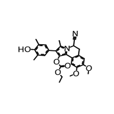 CCOC(=O)Oc1c(-c2cc(C)c(O)c(C)c2)c(C)n2c1-c1cc(OC)c(OC)cc1CC2C#N